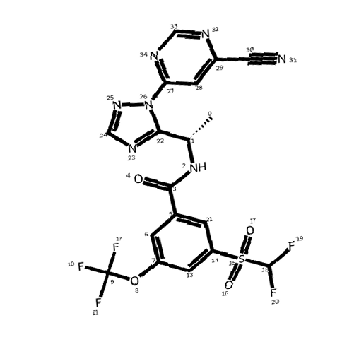 C[C@H](NC(=O)c1cc(OC(F)(F)F)cc(S(=O)(=O)C(F)F)c1)c1ncnn1-c1cc(C#N)ncn1